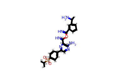 CC(N)c1cccc(C(=N)OC(=N)c2nc(-c3ccc(S(=O)(=O)C(C)C)cc3)cnc2N)c1